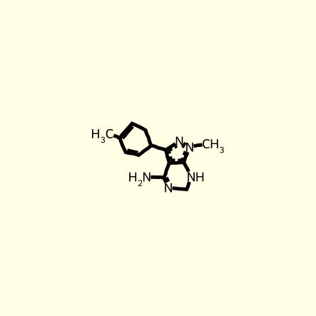 CC1=CCC(c2nn(C)c3c2C(N)=NCN3)C=C1